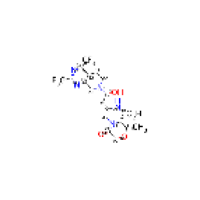 C[C@H]1CN(C[C@H](CC(O)N2CCc3c(nc(C(F)(F)F)nc3C(F)(F)F)C2)NC(=O)O)C(=O)CO1